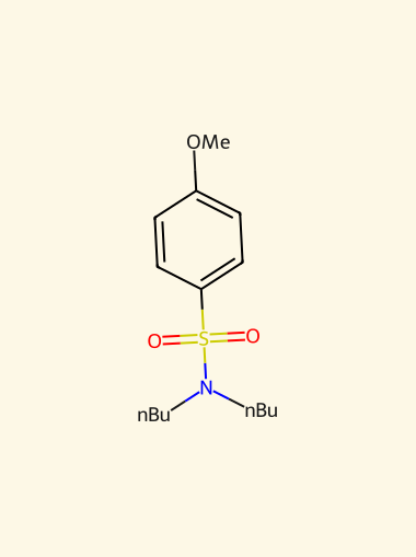 CCCCN(CCCC)S(=O)(=O)c1ccc(OC)cc1